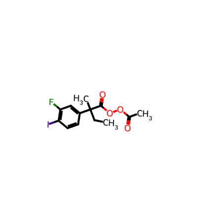 CCC(C)(C(=O)OOC(C)=O)c1ccc(I)c(F)c1